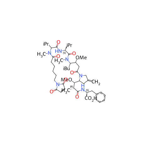 C=C1CC(C(OC)[C@@H](C)C(=O)N[C@@H](Cc2ccccc2)C(=O)O)N(C(=O)CC(OC)C(C(C)CC)N(C)C(=O)[C@@H](NC(=O)C(C(C)C)N(C)C(=O)CCCCCN2C(=O)C=CC2=O)C(C)C)C1